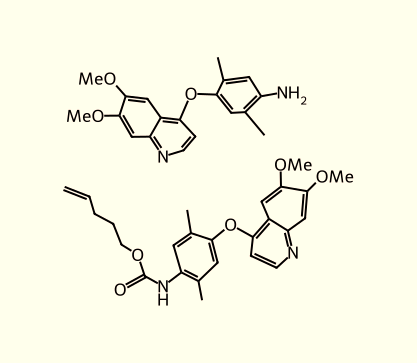 C=CCCCOC(=O)Nc1cc(C)c(Oc2ccnc3cc(OC)c(OC)cc23)cc1C.COc1cc2nccc(Oc3cc(C)c(N)cc3C)c2cc1OC